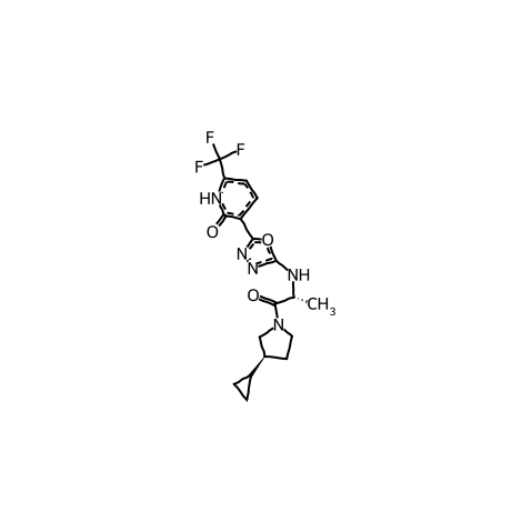 C[C@@H](Nc1nnc(-c2ccc(C(F)(F)F)[nH]c2=O)o1)C(=O)N1CC[C@@H](C2CC2)C1